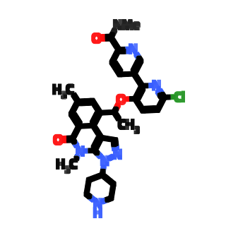 CNC(=O)c1ccc(-c2nc(Cl)ccc2OC(C)c2cc(C)cc3c(=O)n(C)c4c(cnn4C4CCNCC4)c23)cn1